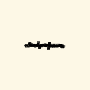 CC(C)(C)C(=O)COCCOCCNC(=O)COCCOCCNC(=O)CCCCCCCCCN=[N+]=[N-]